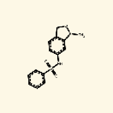 CB1OCc2ccc(NS(=O)(=O)c3ccccc3)cc21